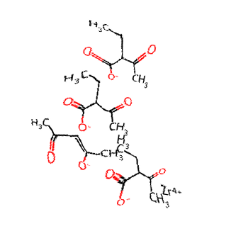 CC(=O)/C=C(/C)[O-].CCC(C(C)=O)C(=O)[O-].CCC(C(C)=O)C(=O)[O-].CCC(C(C)=O)C(=O)[O-].[Zr+4]